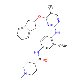 COc1cc(NC(=O)C2CCN(C)CC2)ccc1Nc1ncc(C(F)(F)F)c(OC2Cc3ccccc3C2)n1